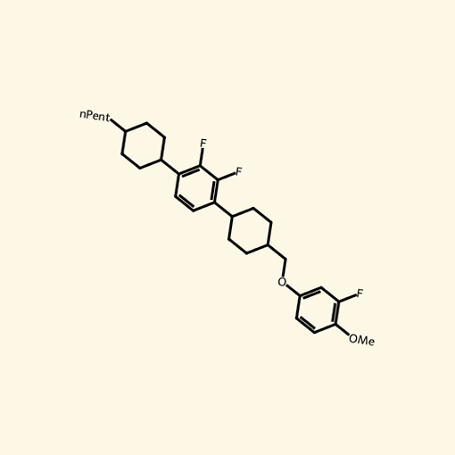 CCCCCC1CCC(c2ccc(C3CCC(COc4ccc(OC)c(F)c4)CC3)c(F)c2F)CC1